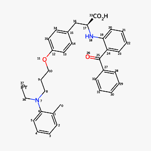 Cc1ccccc1N(CCCOc1ccc(C[C@H](Nc2ccccc2C(=O)c2ccccc2)C(=O)O)cc1)CC(C)C